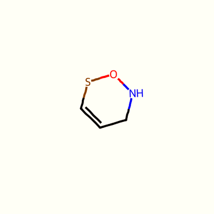 C1=CSONC1